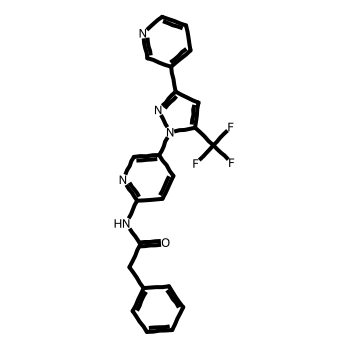 O=C(Cc1ccccc1)Nc1ccc(-n2nc(-c3cccnc3)cc2C(F)(F)F)cn1